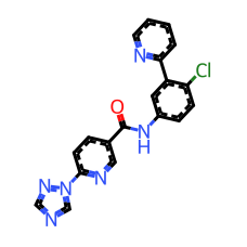 O=C(Nc1ccc(Cl)c(-c2ccccn2)c1)c1ccc(-n2cncn2)nc1